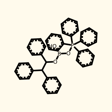 OB(OC(c1ccccc1)C(c1ccccc1)c1ccccc1)OP(c1ccccc1)(c1ccccc1)(c1ccccc1)c1ccccc1